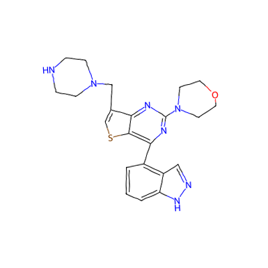 c1cc(-c2nc(N3CCOCC3)nc3c(CN4CCNCC4)csc23)c2cn[nH]c2c1